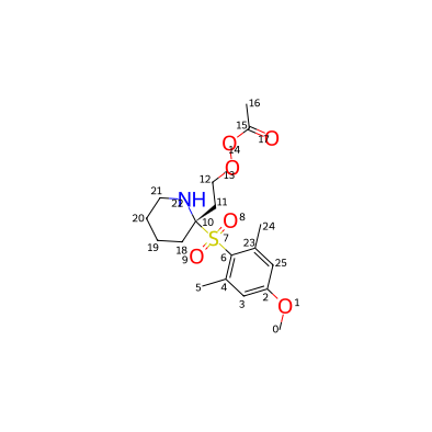 COc1cc(C)c(S(=O)(=O)[C@]2(CCOOC(C)=O)CCCCN2)c(C)c1